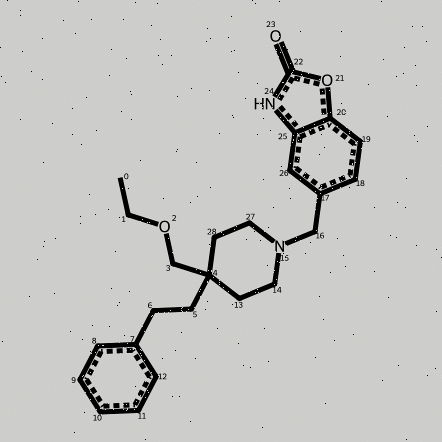 CCOCC1(CCc2ccccc2)CCN(Cc2ccc3oc(=O)[nH]c3c2)CC1